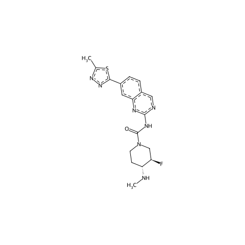 CN[C@@H]1CCN(C(=O)Nc2ncc3ccc(-c4nnc(C)s4)cc3n2)C[C@H]1F